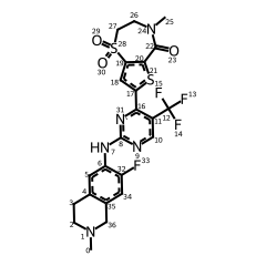 CN1CCc2cc(Nc3ncc(C(F)(F)F)c(-c4cc5c(s4)C(=O)N(C)CCS5(=O)=O)n3)c(F)cc2C1